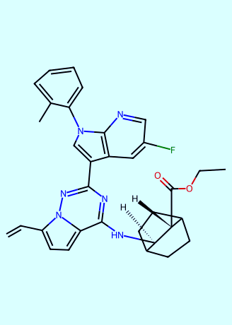 C=Cc1ccc2c(N[C@@H]3C4CCC(CC4)[C@H]3C(=O)OCC)nc(-c3cn(-c4ccccc4C)c4ncc(F)cc34)nn12